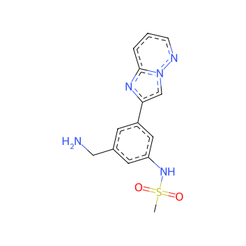 CS(=O)(=O)Nc1cc(CN)cc(-c2cn3ncccc3n2)c1